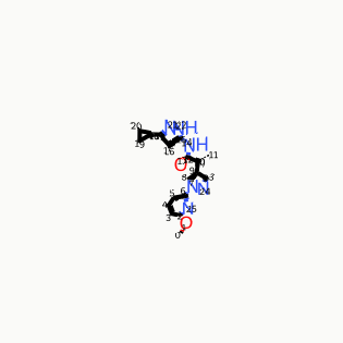 COc1cccc(-n2cc([C@@H](C)C(=O)Nc3cc(C4CC4)n[nH]3)cn2)n1